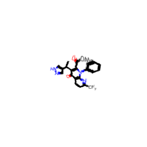 COC(=O)c1c(C(C)c2cn[nH]c2)c(=O)c2ccc(C(F)(F)F)nc2n1-c1ccccc1